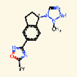 CC(C)c1nc(-c2ccc3c(c2)CC[C@H]3N2C=NNN2C)no1